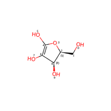 OC[C@@H]1OC(O)=C(O)[C@@H]1O